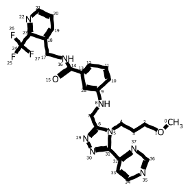 COCCCn1c(CNc2cccc(C(=O)NCc3cccnc3C(F)(F)F)c2)nnc1-c1ccncn1